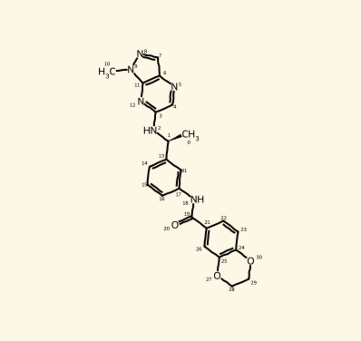 C[C@H](Nc1cnc2cnn(C)c2n1)c1cccc(NC(=O)c2ccc3c(c2)OCCO3)c1